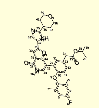 Cc1cc(F)cc(C)c1Oc1ccc(CC(=O)OC(C)C)cc1-c1cn(C)c(=O)c2cc(-c3cnc(C4CCOCC4)[nH]3)oc12